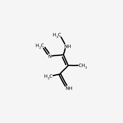 C=N/C(NC)=C(/C)C(C)=N